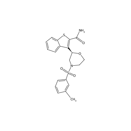 Cc1cccc(S(=O)(=O)N2CCO[C@H](c3c(C(N)=O)sc4ccccc34)C2)c1